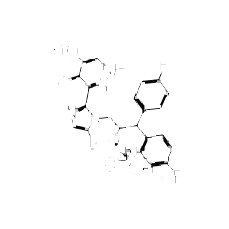 CS(=O)(=O)OC(Cn1c(Br)cnc1-c1n[nH]cc(O)c1=O)C(c1ccc(F)cc1)c1ccc(F)cc1